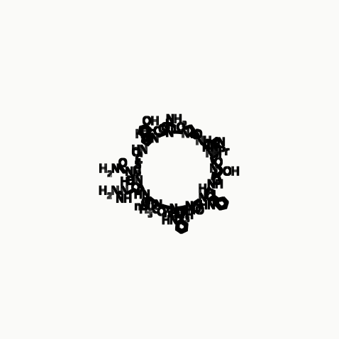 CCCC[C@H]1C(=O)N(C)[C@@H](CCCC)C(=O)N[C@@H](CCCNC(=N)N)C(=O)N[C@H](C(=O)NCC(N)=O)CSCC(=O)N[C@@H](Cc2ccc(O)cc2)C(=O)N(C)[C@@H](C)C(=O)N[C@@H](CC(N)=O)C(=O)N2CCC[C@H]2C(=O)N[C@@H](Cc2cnc[nH]2)C(=O)N[C@@H](CC(C)C)C(=O)N2C[C@H](O)C[C@H]2C(=O)N[C@@H](Cc2c[nH]c3ccccc23)C(=O)N[C@@H](CO)C(=O)N[C@@H](Cc2c[nH]c3ccccc23)C(=O)N1C